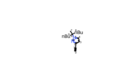 C#Cc1ccn(C(C)(CCCC)CCCC)n1